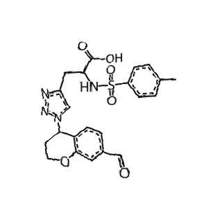 Cc1ccc(S(=O)(=O)NC(Cc2cn(C3CCOc4cc(C=O)ccc43)nn2)C(=O)O)cc1